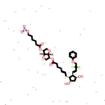 O=C(CCCC=CC[C@@H]1[C@@H](C=CC(F)(F)COc2ccccc2)[C@H](O)C[C@@H]1O)O[C@@H]1CO[C@H]2[C@@H]1OC[C@H]2OC(=O)CCCCCO[N+](=O)[O-]